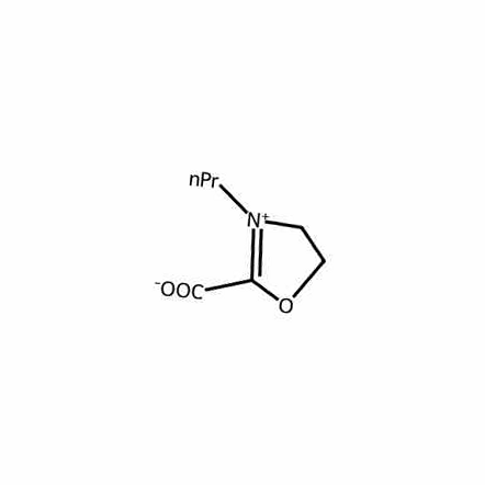 CCC[N+]1=C(C(=O)[O-])OCC1